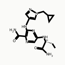 CC[C@@H](Nc1cnc(C(N)=O)c(Nc2cnn(CC3CC3)c2)n1)C(N)=O